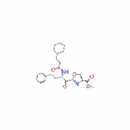 COC(=O)[C@@H]1COC(C(=O)C(CCc2ccccc2)NC(=O)CCC2CCCCC2)=N1